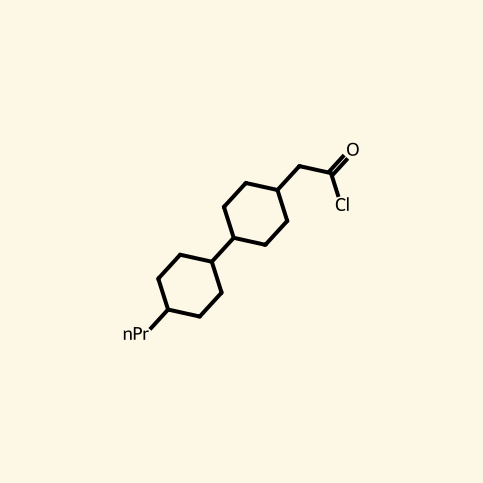 CCCC1CCC(C2CCC(CC(=O)Cl)CC2)CC1